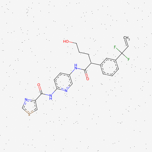 C=CC(F)(F)c1cccc(C(CCCO)C(=O)Nc2ccc(NC(=O)c3cscn3)nc2)c1